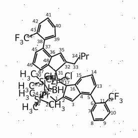 CC(C)CC1=Cc2c(-c3ccccc3C(F)(F)F)cccc2[CH]1[Zr]([Cl])([Cl])([BH]N([Si](C)(C)C)[Si](C)(C)C)[CH]1C(CC(C)C)=Cc2c(-c3ccccc3C(F)(F)F)cccc21